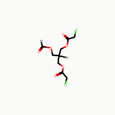 CCC(=O)OCC(CC)(COC(=O)CCl)COC(=O)CCl